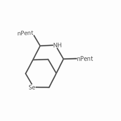 CCCCCC1NC(CCCCC)C2C[Se]CC1C2